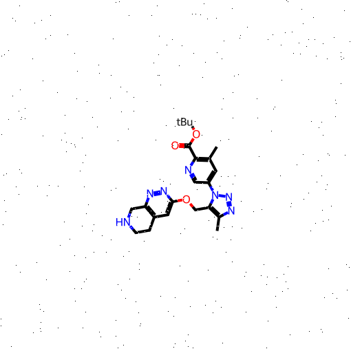 Cc1cc(-n2nnc(C)c2COc2cc3c(nn2)CNCC3)cnc1C(=O)OC(C)(C)C